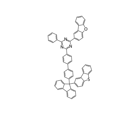 c1ccc(-c2nc(-c3ccc(-c4ccc(C5(c6ccc7sc8ccccc8c7c6)c6ccccc6-c6ccccc65)cc4)cc3)nc(-c3ccc4oc5ccccc5c4c3)n2)cc1